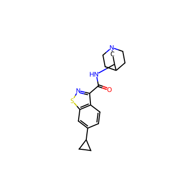 O=C(NC1CN2CCC1CC2)c1nsc2cc(C3CC3)ccc12